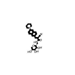 N#C/C(=C\c1ccc2cc(N3CCCCC3)ccc2c1)C(=O)NC[C@H]1OC[C@H](O)[C@@H](O)[C@@H]1O